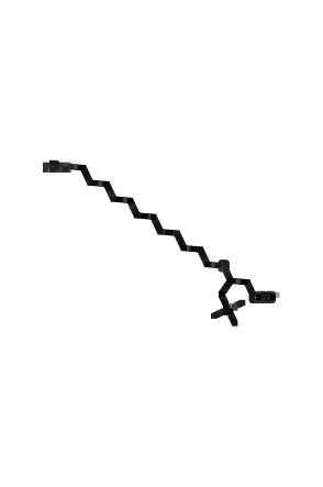 CCCCCCCCCCCCCCCCCCCCCCOC(CC(=O)[O-])C[N+](C)(C)C